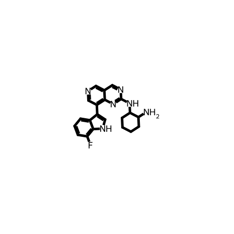 NC1CCCCC1Nc1ncc2cncc(-c3c[nH]c4c(F)cccc34)c2n1